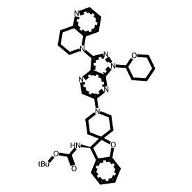 CC(C)(C)OC(=O)N[C@@H]1c2ccccc2OC12CCN(c1cnc3c(N4CCCc5ncccc54)nn(C4CCCCO4)c3n1)CC2